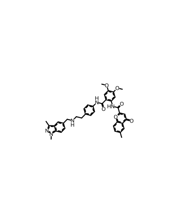 COc1cc(NC(=O)c2cc(=O)c3cc(C)ccc3o2)c(C(=O)Nc2ccc(CCNCc3ccc4c(c3)c(C)nn4C)cc2)cc1OC